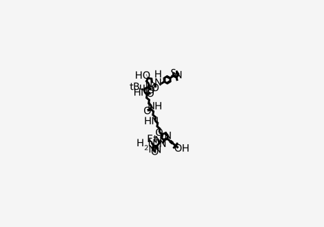 CCn1c(-c2nonc2N)nc2c(C#CC(C)(C)O)ncc(OCCCNCCCC(=O)NCCCC(=O)N[C@H](C(=O)N3C[C@H](O)C[C@H]3C(=O)NCc3ccc(-c4scnc4C)cc3)C(C)(C)C)c21